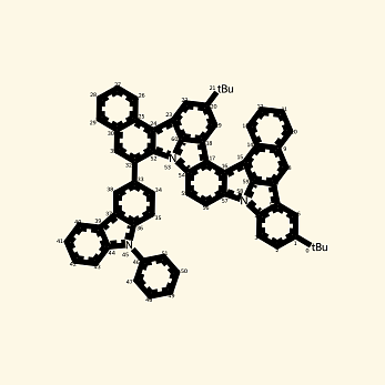 CC(C)(C)c1ccc2c(c1)c1cc3ccccc3c3c4c5c6cc(C(C)(C)C)cc7c8c9ccccc9cc(-c9ccc%10c(c9)c9ccccc9n%10-c9ccccc9)c8n(c5ccc4n2c13)c67